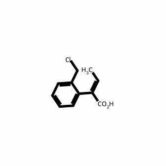 C/C=C(/C(=O)O)c1ccccc1CCl